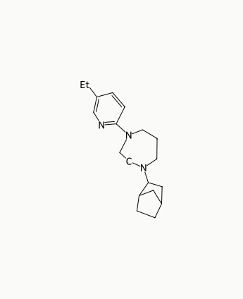 CCc1ccc(N2CCCN(C3CC4CCC3C4)CC2)nc1